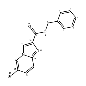 O=C(OCc1ccccc1)c1cn2cc(Br)ccc2n1